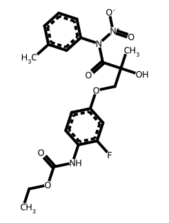 CCOC(=O)Nc1ccc(OCC(C)(O)C(=O)N(c2cccc(C)c2)[N+](=O)[O-])cc1F